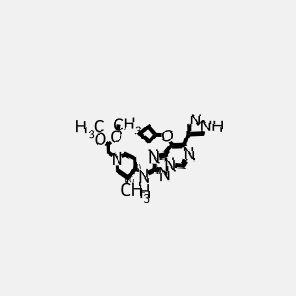 COC(CN1CC[C@H](Nc2nc3c(OC4CCC4)c(-c4cn[nH]c4)ncn3n2)[C@H](C)C1)OC